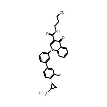 N#CCCCNC(=O)c1cn(-c2cccc(-c3ccc([C@@H]4C[C@H]4C(=O)O)c(F)c3)c2)c2ncccc2c1=O